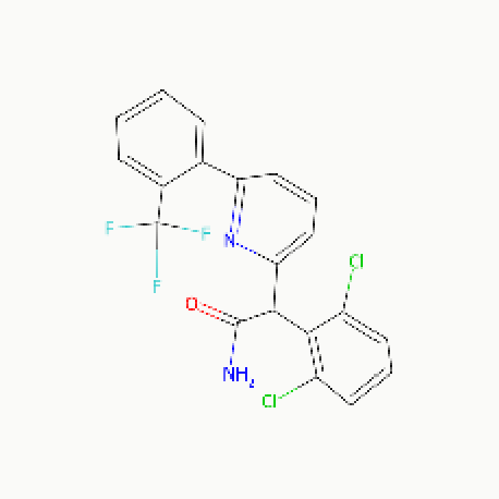 NC(=O)C(c1cccc(-c2ccccc2C(F)(F)F)n1)c1c(Cl)cccc1Cl